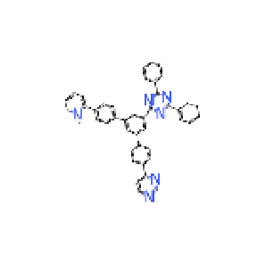 CN1CC=CC=C1c1ccc(-c2cc(-c3ccc(-c4ccncn4)cc3)cc(-c3nc(C4=CC=CCC4)nc(-c4ccccc4)n3)c2)cc1